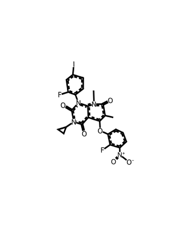 Cc1c(Oc2cccc([N+](=O)[O-])c2F)c2c(=O)n(C3CC3)c(=O)n(-c3ccc(I)cc3F)c2n(C)c1=O